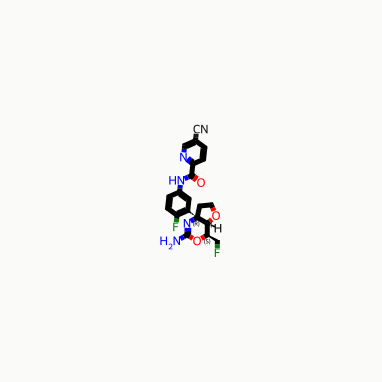 N#Cc1ccc(C(=O)Nc2ccc(F)c([C@]34CCO[C@H]3[C@@H](CF)OC(N)=N4)c2)nc1